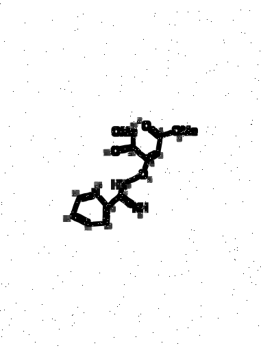 COC(=O)C=C(ONC(=N)c1ccccn1)C(=O)OC